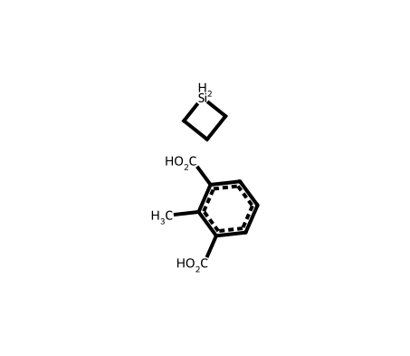 C1C[SiH2]C1.Cc1c(C(=O)O)cccc1C(=O)O